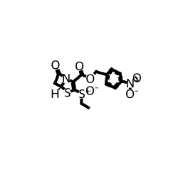 CC[S+]([O-])C1=C(C(=O)OCc2ccc([N+](=O)[O-])cc2)N2C(=O)C[C@@H]2S1